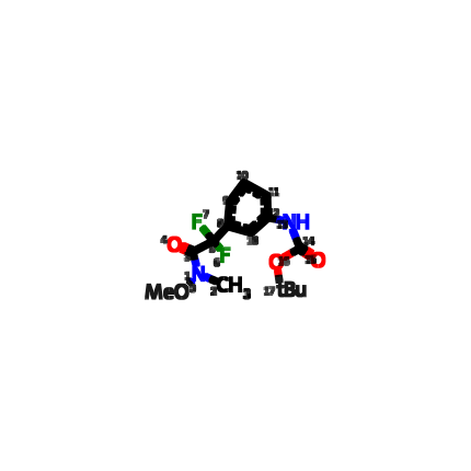 CON(C)C(=O)C(F)(F)c1cccc(NC(=O)OC(C)(C)C)c1